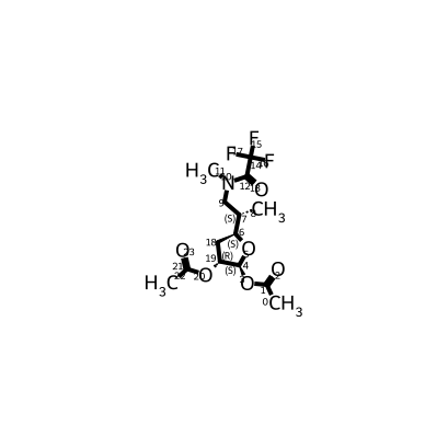 CC(=O)O[C@@H]1O[C@H]([C@@H](C)CN(C)C(=O)C(F)(F)F)C[C@H]1OC(C)=O